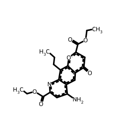 CCCc1c2nc(C(=O)OCC)cc(N)c2cc2c(=O)cc(C(=O)OCC)oc12